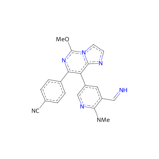 CNc1ncc(-c2c(-c3ccc(C#N)cc3)nc(OC)n3ccnc23)cc1C=N